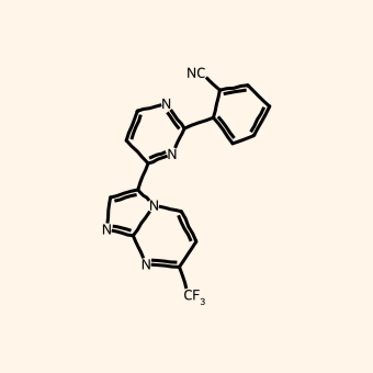 N#Cc1ccccc1-c1nccc(-c2cnc3nc(C(F)(F)F)ccn23)n1